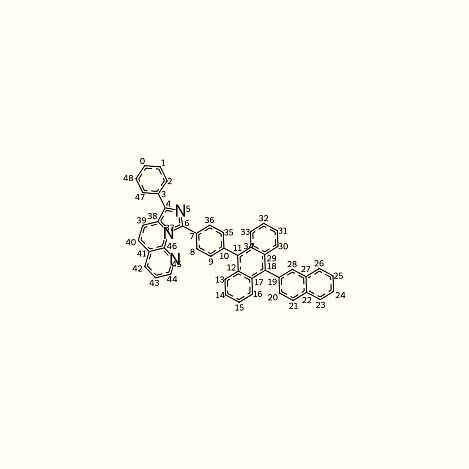 c1ccc(-c2nc(-c3ccc(-c4c5ccccc5c(-c5ccc6ccccc6c5)c5ccccc45)cc3)n3c2ccc2cccnc23)cc1